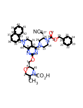 CC1CO[C@@H](COc2nc3c(c(N4CCN(C(=O)OCc5ccccc5)[C@@H](CC#N)C4)n2)CCN(c2cccc4ccccc24)C3)CN1C(=O)O